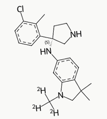 [2H]C([2H])([2H])N1CC(C)(C)c2ccc(N[C@]3(c4cccc(Cl)c4C)CCNC3)cc21